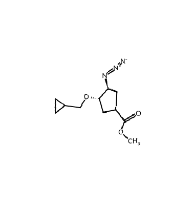 COC(=O)C1C[C@H](N=[N+]=[N-])[C@@H](OCC2CC2)C1